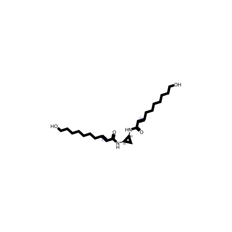 O=C(/C=C/CCCCCCCO)N[C@H]1C[C@H]1NC(=O)/C=C/CCCCCCCO